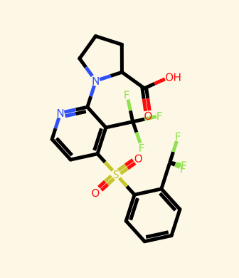 O=C(O)C1CCCN1c1nccc(S(=O)(=O)c2ccccc2C(F)(F)F)c1C(F)(F)F